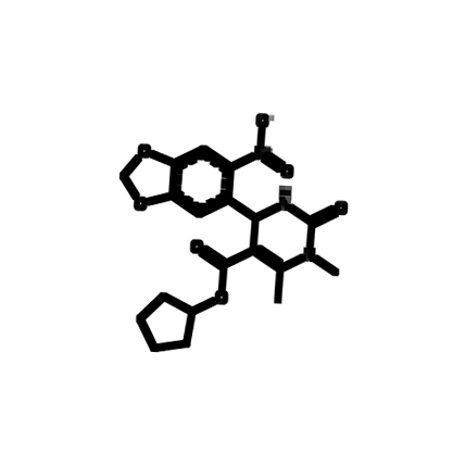 CC1=C(C(=O)OC2CCCC2)C(c2cc3c(cc2[N+](=O)[O-])OCO3)NC(=O)N1C